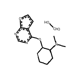 CN(C)C1CCCCC1Oc1ncnc2occc12.O=CO